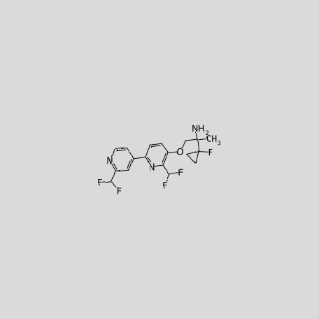 CC(N)(COc1ccc(-c2ccnc(C(F)F)c2)nc1C(F)F)C1(F)CC1